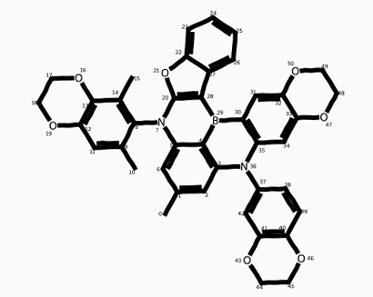 Cc1cc2c3c(c1)N(c1c(C)cc4c(c1C)OCCO4)c1oc4ccccc4c1B3c1cc3c(cc1N2c1ccc2c(c1)OCCO2)OCCO3